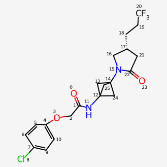 O=C(COc1ccc(Cl)cc1)NC12CC(N3C[C@H](CCC(F)(F)F)CC3=O)(C1)C2